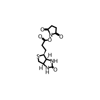 O=C1N[C@H]2[C@H](CS[C@H]2CCC(=O)ON2C(=O)CCC2=O)N1